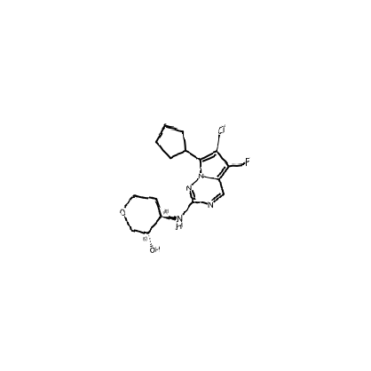 O[C@@H]1COCC[C@H]1Nc1ncc2c(F)c(Cl)c(C3CCCC3)n2n1